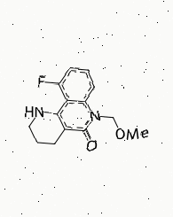 COCn1c(=O)c2c(c3c(F)cccc31)NCCC2